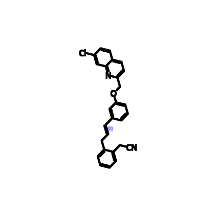 N#CCc1ccccc1C/C=C/c1cccc(OCc2ccc3ccc(Cl)cc3n2)c1